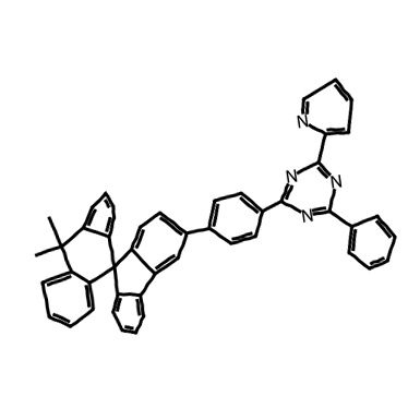 CC1(C)c2ccccc2C2(c3ccccc3-c3cc(-c4ccc(-c5nc(-c6ccccc6)nc(-c6ccccn6)n5)cc4)ccc32)c2ccccc21